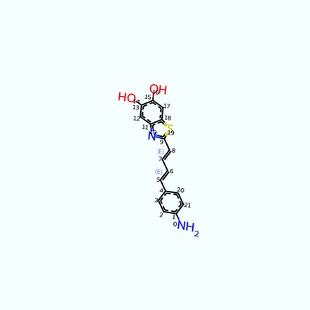 Nc1ccc(/C=C/C=C/c2nc3cc(O)c(O)cc3s2)cc1